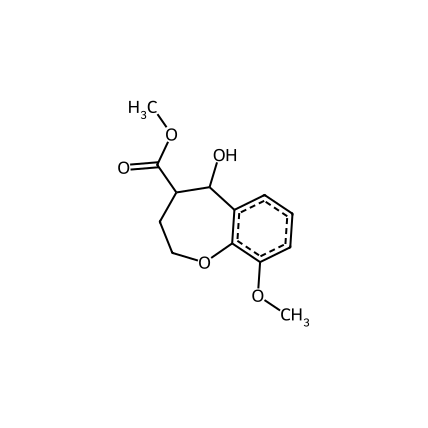 COC(=O)C1CCOc2c(OC)cccc2C1O